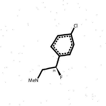 CNC[C@H](F)c1ccc(Cl)cc1